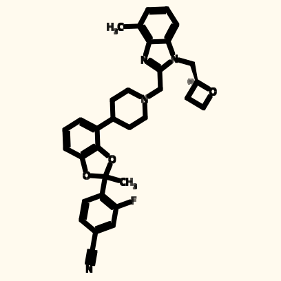 Cc1cccc2c1nc(CN1CCC(c3cccc4c3OC(C)(c3ccc(C#N)cc3F)O4)CC1)n2C[C@@H]1CCO1